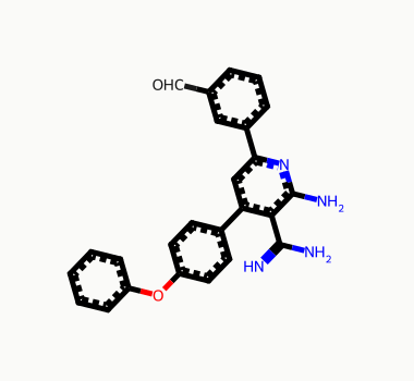 N=C(N)c1c(-c2ccc(Oc3ccccc3)cc2)cc(-c2cccc(C=O)c2)nc1N